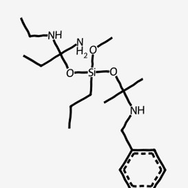 CCC[Si](OC)(OC(C)(C)NCc1ccccc1)OC(N)(CC)NCC